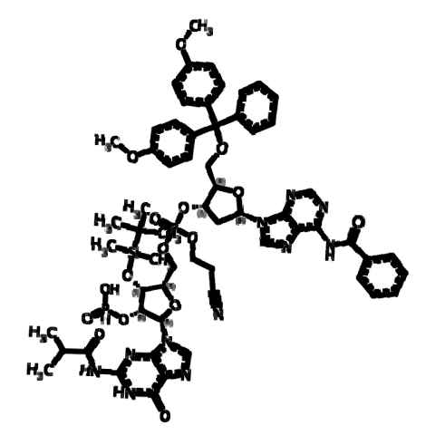 COc1ccc(C(OC[C@H]2O[C@@H](n3cnc4c(NC(=O)c5ccccc5)ncnc43)C[C@@H]2OP(=O)(OCCC#N)OC[C@H]2O[C@@H](n3cnc4c(=O)[nH]c(NC(=O)C(C)C)nc43)[C@H](O[PH](=O)O)[C@@H]2O[Si](C)(C)C(C)(C)C)(c2ccccc2)c2ccc(OC)cc2)cc1